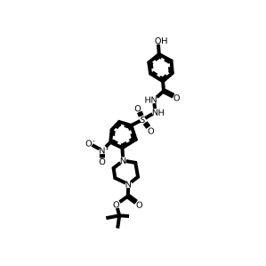 CC(C)(C)OC(=O)N1CCN(c2cc(S(=O)(=O)NNC(=O)c3ccc(O)cc3)ccc2[N+](=O)[O-])CC1